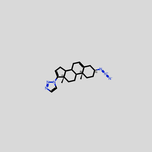 C[C@]12CC[C@H](N=[N+]=[N-])CC1=CCC1C2CC[C@]2(C)C(n3ccnn3)=CCC12